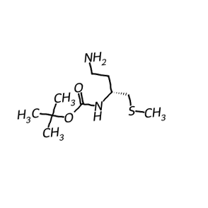 CSC[C@@H](CCN)NC(=O)OC(C)(C)C